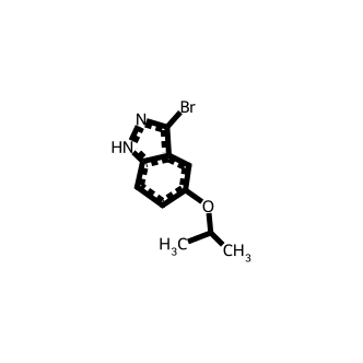 CC(C)Oc1ccc2[nH]nc(Br)c2c1